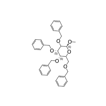 CO[C@H]1OC(COCc2ccccc2)[C@H](OCc2ccccc2)[C@H](OCc2ccccc2)C1OCc1ccccc1